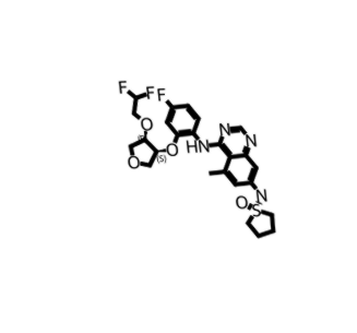 Cc1cc(N=S2(=O)CCCC2)cc2ncnc(Nc3ccc(F)cc3O[C@H]3COC[C@H]3OCC(F)F)c12